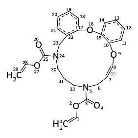 C=COC(=O)N1C/C=C\Oc2ccccc2Oc2ccccc2CN(C(=O)OC=C)CCC1